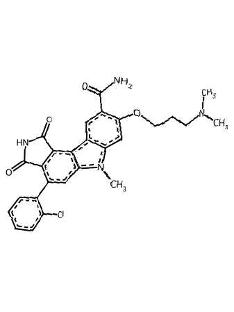 CN(C)CCCOc1cc2c(cc1C(N)=O)c1c3c(c(-c4ccccc4Cl)cc1n2C)C(=O)NC3=O